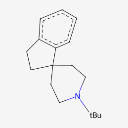 CC(C)(C)N1CCC2(CCc3ccccc32)CC1